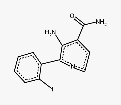 NC(=O)c1ccnc(-c2ccccc2I)c1N